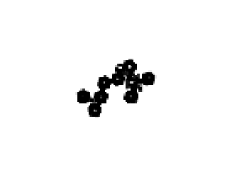 c1ccc(-c2nc(-c3ccccc3)nc(N3c4ccccc4Oc4cc(-c5cccc(-c6ccc7c8ccccc8n(-c8ccccc8)c7c6)c5)ccc43)n2)cc1